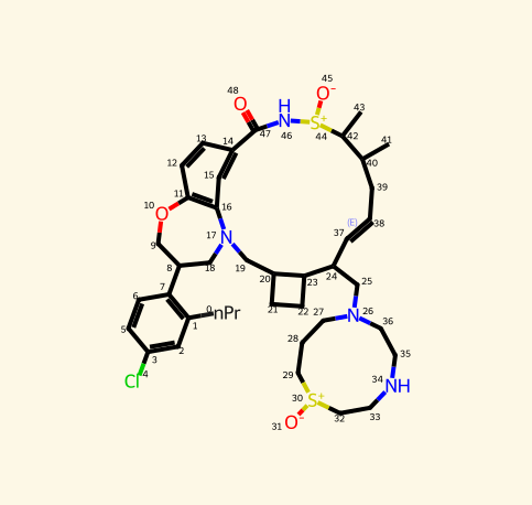 CCCc1cc(Cl)ccc1C1COc2ccc3cc2N(C1)CC1CCC1C(CN1CCC[S+]([O-])CCNCC1)/C=C/CC(C)C(C)[S+]([O-])NC3=O